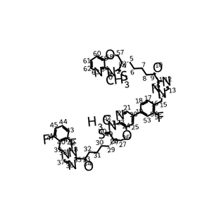 CN1C(=S)[C@@H](CCCCC(=O)c2ncn(Cc3ccc(-c4cnc5c(c4)OC[C@H](CCCCC(=O)c4ncn(Cc6c(F)cccc6F)n4)C(=S)N5C)cc3F)n2)COc2cccnc21